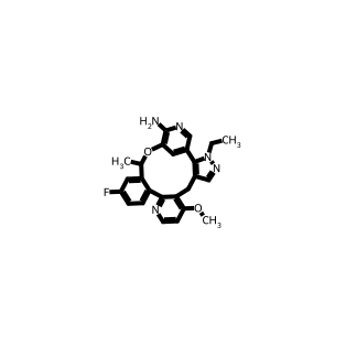 CCn1ncc2c1-c1cnc(N)c(c1)OC(C)c1cc(F)ccc1-c1nccc(OC)c1C2